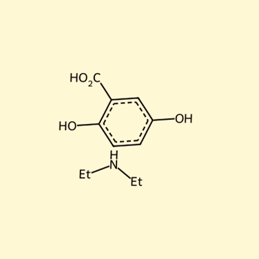 CCNCC.O=C(O)c1cc(O)ccc1O